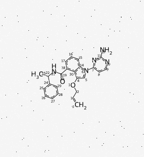 C=CCOc1cn(-c2ccnc(N)n2)c2cccc(C(=O)NC(C)c3ccccc3)c12